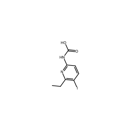 CCc1nc(NC(=O)O)ccc1I